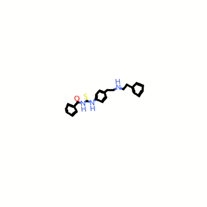 O=C(NC(=S)Nc1ccc(CCNCCc2ccccc2)cc1)c1ccccc1